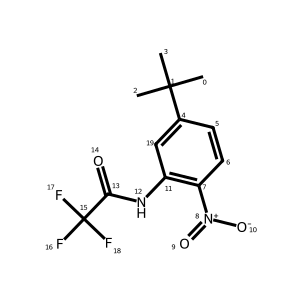 CC(C)(C)c1ccc([N+](=O)[O-])c(NC(=O)C(F)(F)F)c1